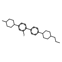 CCCC1CCC(c2ccc(-c3ccc(C4CCC(C)CC4)cc3F)cc2)CC1